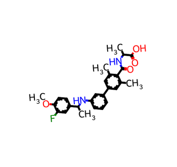 COc1ccc(C(C)Nc2cccc(-c3cc(C)c(C(=O)NC(C)C(=O)O)c(C)c3)c2)cc1F